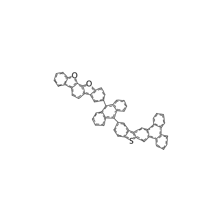 c1ccc2c(c1)oc1c2ccc2c3cc(-c4c5ccccc5c(-c5ccc6sc7cc8c9ccccc9c9ccccc9c8cc7c6c5)c5ccccc45)ccc3oc21